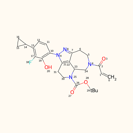 C=CC(=O)N1CCc2nn(-c3ccc(C4CC4)c(F)c3O)c3c2C(C1)N(C(=O)OC(C)(C)C)CC3